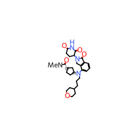 CNC(=O)[C@H]1CC[C@@H](N(CCCC2CCOCC2)c2cccc3c2CN(C2CCC(=O)NC2=O)C3=O)C1